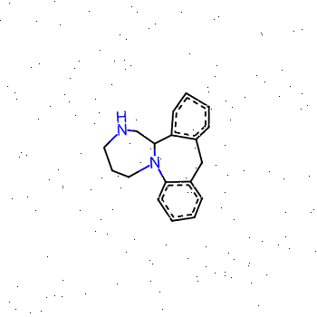 c1ccc2c(c1)Cc1ccccc1N1CCCNCC21